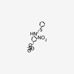 CS(=O)(=O)OCc1ccc(NCCSc2ccccc2)c([N+](=O)[O-])c1